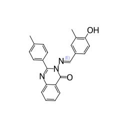 Cc1ccc(-c2nc3ccccc3c(=O)n2/N=C/c2ccc(O)c(C)c2)cc1